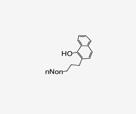 CCCCCCCCCCCCc1ccc2ccccc2c1O